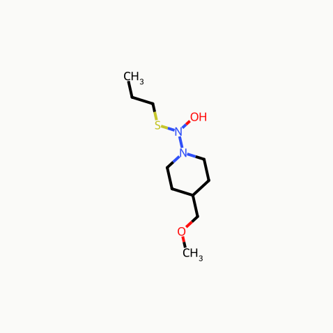 CCCSN(O)N1CCC(COC)CC1